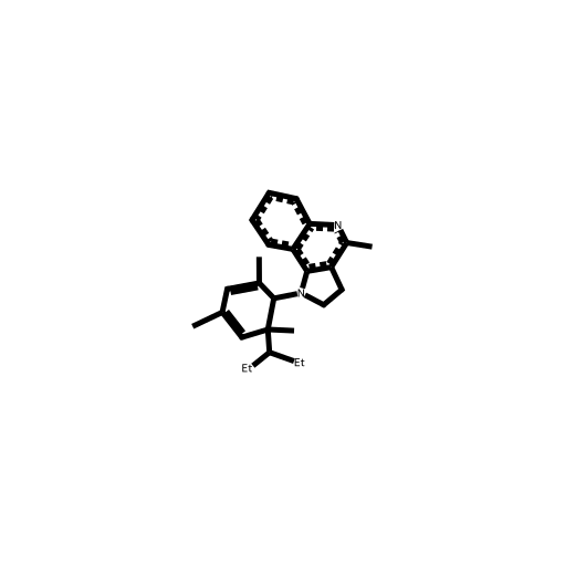 CCC(CC)C1(C)C=C(C)C=C(C)C1N1CCc2c(C)nc3ccccc3c21